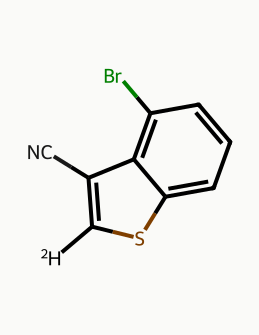 [2H]c1sc2cccc(Br)c2c1C#N